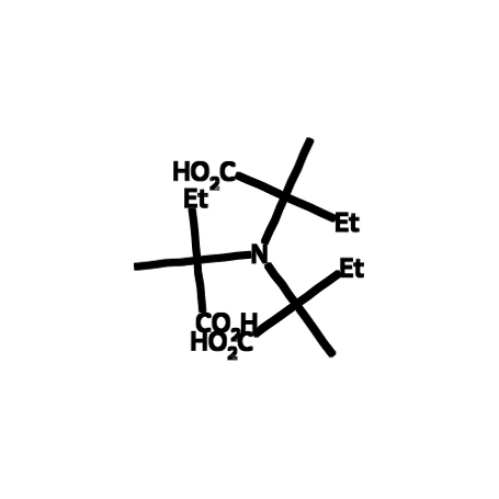 CCC(C)(C(=O)O)N(C(C)(CC)C(=O)O)C(C)(CC)C(=O)O